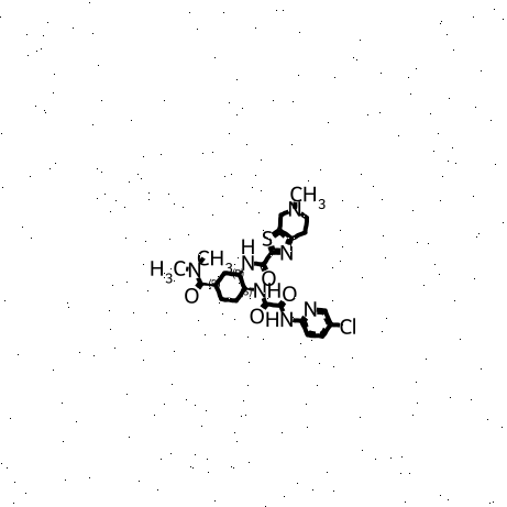 CN1CCc2nc(C(=O)N[C@@H]3C[C@H](C(=O)N(C)C)CC[C@@H]3NC(=O)C(=O)Nc3ccc(Cl)cn3)sc2C1